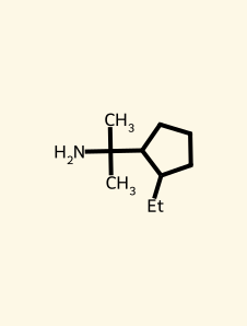 CCC1CCCC1C(C)(C)N